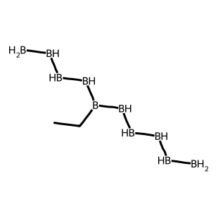 BBBBBB(BBBB)CC